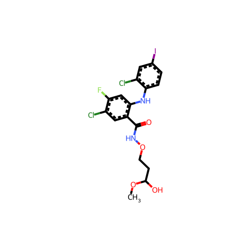 COC(O)CCONC(=O)c1cc(Cl)c(F)cc1Nc1ccc(I)cc1Cl